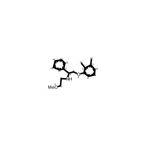 COCCNC(COc1cccc(C)c1C)c1ccccc1